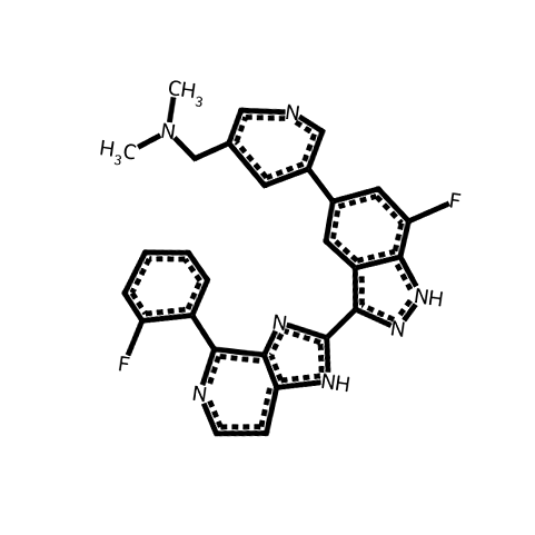 CN(C)Cc1cncc(-c2cc(F)c3[nH]nc(-c4nc5c(-c6ccccc6F)nccc5[nH]4)c3c2)c1